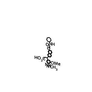 COc1cc(C(CC(=O)O)c2ccc3ccc(OCC(=O)NC4CCCCCC4)cc3c2)cc2nnn(C)c12